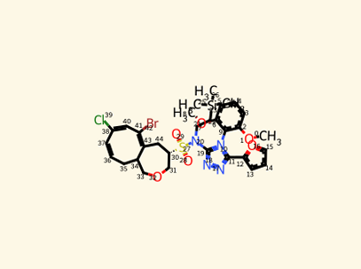 COc1cccc(OC)c1-n1c(-c2ccco2)nnc1N(CC[Si](C)(C)C)S(=O)(=O)[C@@H]1COCC2C\C=C/C(Cl)=C\C(Br)=C/2C1